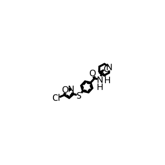 O=C(N[C@H]1CN2CCC1CC2)c1ccc(Sc2cc(Cl)on2)cc1